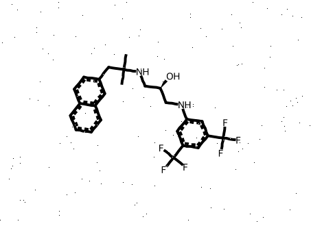 CC(C)(Cc1ccc2ccccc2c1)NC[C@@H](O)CNc1cc(C(F)(F)F)cc(C(F)(F)F)c1